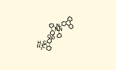 CC1(C)c2ccccc2-c2cc3c(cc21)Oc1cc(-c2ccccc2-c2nc(-c4ccccc4)nc(-c4ccc5c6ccccc6c6ccccc6c5c4)n2)ccc1O3